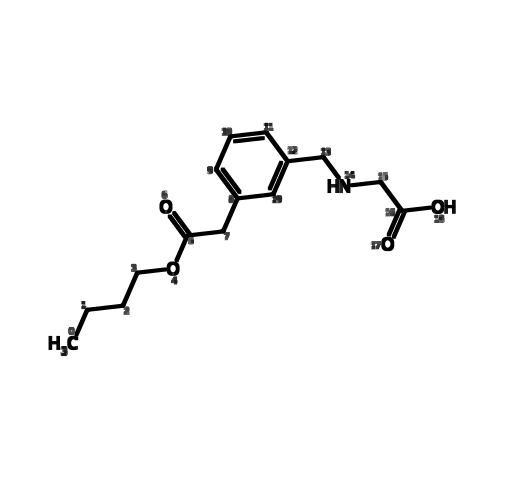 CCCCOC(=O)Cc1cccc(CNCC(=O)O)c1